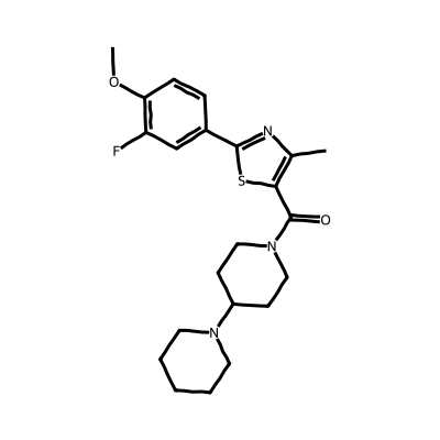 COc1ccc(-c2nc(C)c(C(=O)N3CCC(N4CCCCC4)CC3)s2)cc1F